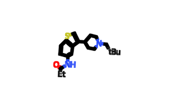 CCC(=O)Nc1ccc2scc(C3CCN(CC(C)(C)C)CC3)c2c1